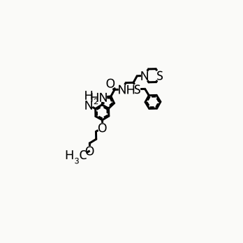 COCCCOc1cc(N)c2[nH]c(C(=O)NCC(CN3CCSCC3)SCc3ccccc3)cc2c1